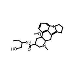 CCC(CO)NC(=O)C1CN(C)C2Cc3c4n(c5cccc(c35)C2(OC)C1)CCC4